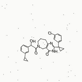 O=C(C(O)c1cccc(C2CC2)c1)N1CCCc2nc(C3(c4cccc(Cl)c4)CC3)[nH]c(=O)c2C1